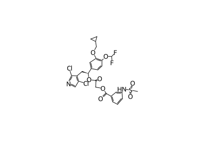 CS(=O)(=O)Nc1cccc(C(=O)OCC(=O)O[C@@H](Cc2c(Cl)cncc2Cl)c2ccc(OC(F)F)c(OCC3CC3)c2)c1